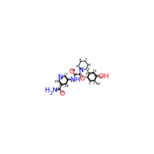 Cc1ccc([C@@H]2CCCCN2C(=O)C(=O)Nc2cncc(C(N)=O)c2)cc1O